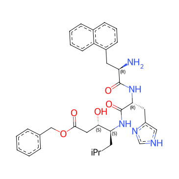 CC(C)C[C@H](NC(=O)[C@@H](Cc1c[nH]cn1)NC(=O)[C@H](N)Cc1cccc2ccccc12)[C@@H](O)CC(=O)OCc1ccccc1